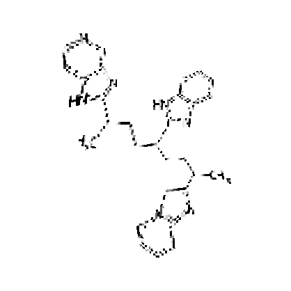 CC(CCC(CCC(C)c1nc2cnccc2[nH]1)c1nc2ccccc2[nH]1)c1cn2ccccc2n1